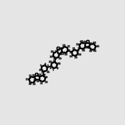 c1cc(-c2cccc(-c3cccc4c3oc3ccccc34)c2)cc(-c2ccc3oc4ccc(-c5cccc(-c6ccc7oc8ccccc8c7c6)c5)cc4c3c2)c1